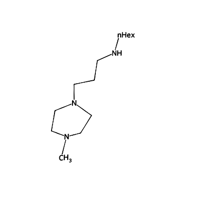 CCCCCCNCCCN1CCN(C)CC1